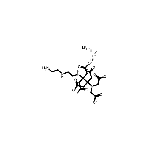 NCCNCCNC(CC(=O)[O-])(CC(=O)[O-])C(CC(=O)[O-])(CC(=O)[O-])N(CC(=O)[O-])CC(=O)[O-].[Li+].[Li+].[Li+].[Li+].[Li+].[Li+]